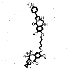 [2H]C1([2H])Nc2cc(OCCCCCOc3cc4c(cc3OC)C(=O)N3C=C(c5ccc(N)cc5)C[C@H]3CN4)c(OC)cc2C(=O)N2CC3(CC3)C[C@H]21